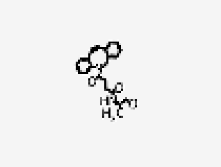 CC(C=O)NC(=O)CCC(=O)N1Cc2ccccc2C#Cc2ccccc21